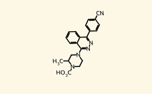 CC1CN(c2nnc(-c3ccc(C#N)cc3)c3ccccc23)CCN1C(=O)O